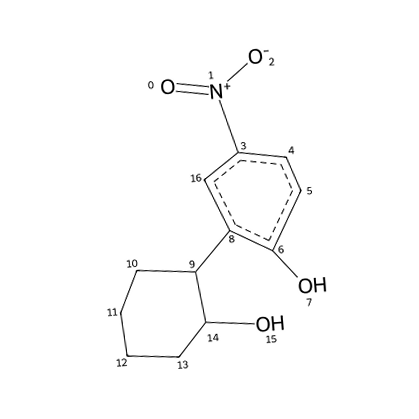 O=[N+]([O-])c1ccc(O)c(C2CCCCC2O)c1